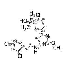 COc1nc(NCCc2ccc(Cl)cc2Cl)cc(-c2ccc(Cl)c(C(C)(C)O)c2)n1